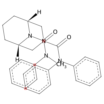 CN(C(=O)N1[C@@H]2CCC[C@H]1CN(C(=O)N(c1ccccc1)c1ccccc1)C2)c1ccccc1